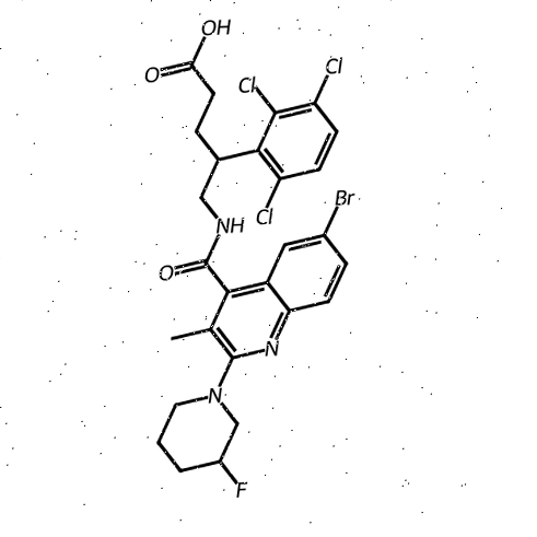 Cc1c(N2CCCC(F)C2)nc2ccc(Br)cc2c1C(=O)NCC(CCC(=O)O)c1c(Cl)ccc(Cl)c1Cl